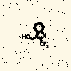 OCn1c(C(F)(F)F)nc2ccccc21